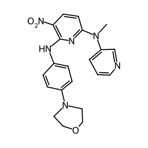 CN(c1cccnc1)c1ccc([N+](=O)[O-])c(Nc2ccc(N3CCOCC3)cc2)n1